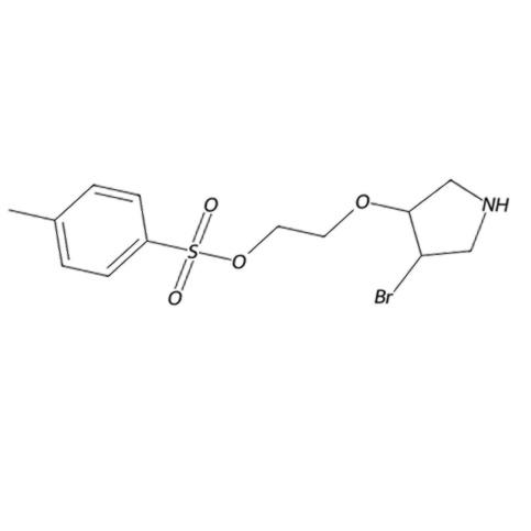 Cc1ccc(S(=O)(=O)OCCOC2CNCC2Br)cc1